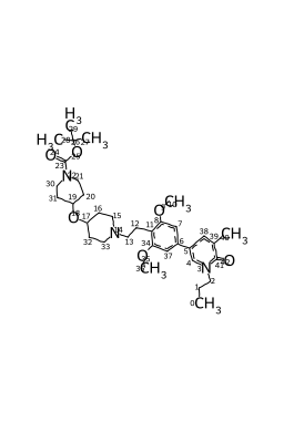 CCCn1cc(-c2cc(OC)c(CCN3CCC(OC4CCN(C(=O)OC(C)(C)C)CC4)CC3)c(OC)c2)cc(C)c1=O